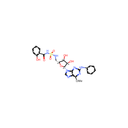 COc1nc(Nc2ccccc2)nc2c1ncn2[C@@H]1O[C@H](CNS(=O)(=O)NC(=O)c2ccccc2O)[C@@H](O)[C@H]1O